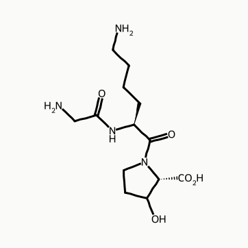 NCCCC[C@H](NC(=O)CN)C(=O)N1CCC(O)[C@H]1C(=O)O